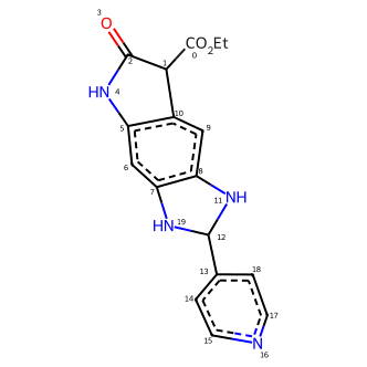 CCOC(=O)C1C(=O)Nc2cc3c(cc21)NC(c1ccncc1)N3